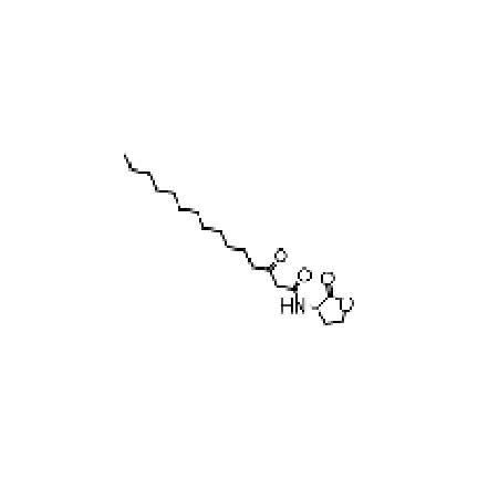 CCCCCCCCCCCCC(=O)CC(=O)N[C@H]1CCOC1=O